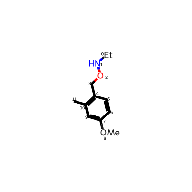 CCNOCc1ccc(OC)cc1C